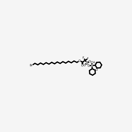 CS(OS(=O)(=O)C(F)(F)C(=O)OCCCCCCCCCCCCCCCCBr)(C1CCCCC1)C1CCCCC1=O